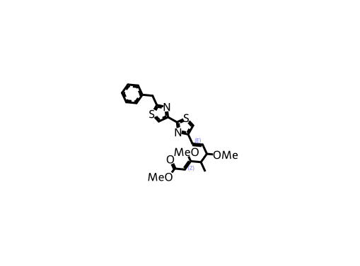 COC(=O)/C=C(\OC)C(C)C(/C=C/c1csc(-c2csc(Cc3ccccc3)n2)n1)OC